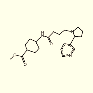 COC(=O)C1CCC(NC(=O)CCCN2CCCC2c2cccnc2)CC1